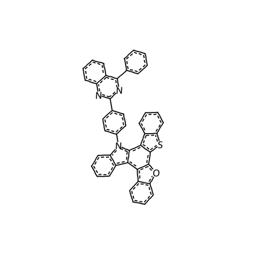 c1ccc(-c2nc(-c3ccc(-n4c5ccccc5c5c6c7ccccc7oc6c6sc7ccccc7c6c54)cc3)nc3ccccc23)cc1